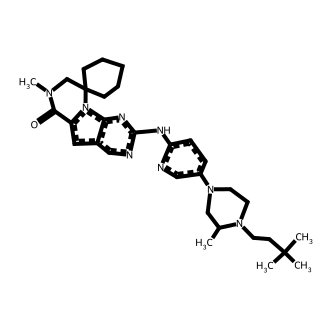 CC1CN(c2ccc(Nc3ncc4cc5n(c4n3)C3(CCCCC3)CN(C)C5=O)nc2)CCN1CCC(C)(C)C